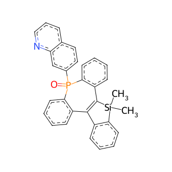 C[Si]1(C)C2=C(c3ccccc31)c1ccccc1P(=O)(c1ccc3cccnc3c1)c1ccccc12